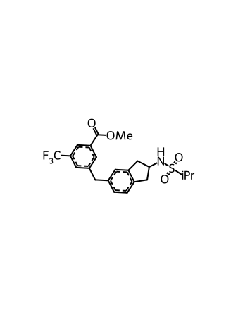 COC(=O)c1cc(Cc2ccc3c(c2)CC(NS(=O)(=O)C(C)C)C3)cc(C(F)(F)F)c1